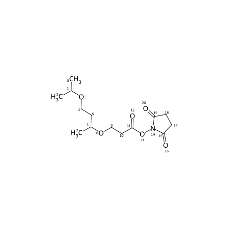 CC(C)OCCC(C)OCCC(=O)ON1C(=O)CCC1=O